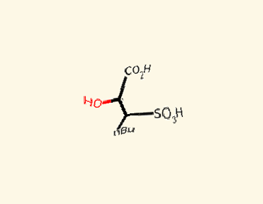 CCCCC([C](O)C(=O)O)S(=O)(=O)O